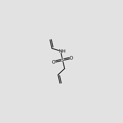 C=CCS(=O)(=O)NC=C